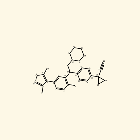 Cc1ccc(-c2c(C)noc2C)cc1N(CC1CCCCC1)c1ccc(C2(C#N)CC2)cc1